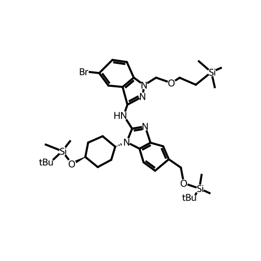 CC(C)(C)[Si](C)(C)OCc1ccc2c(c1)nc(Nc1nn(COCC[Si](C)(C)C)c3ccc(Br)cc13)n2[C@H]1CC[C@H](O[Si](C)(C)C(C)(C)C)CC1